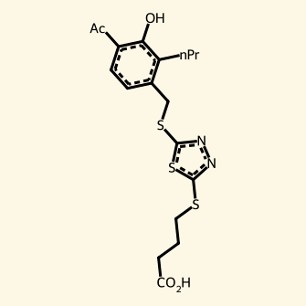 CCCc1c(CSc2nnc(SCCCC(=O)O)s2)ccc(C(C)=O)c1O